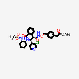 COC(=O)Cc1ccc(CONC(=O)[C@@H]2c3ccccc3C(=O)N([C@H]3CCCC[C@@H]3NS(C)(=O)=O)[C@H]2c2ccncc2Cl)cc1